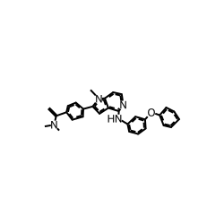 C=C(c1ccc(-c2cc3c(Nc4cccc(Oc5ccccc5)c4)nccc3n2C)cc1)N(C)C